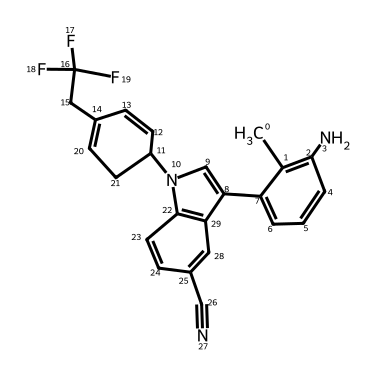 Cc1c(N)cccc1-c1cn(C2C=CC(CC(F)(F)F)=CC2)c2ccc(C#N)cc12